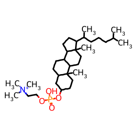 CC(C)CCCC(C)C1CCC2C3CCC4CC(OP(=O)(O)OCC[N+](C)(C)C)CCC4(C)C3CCC12C